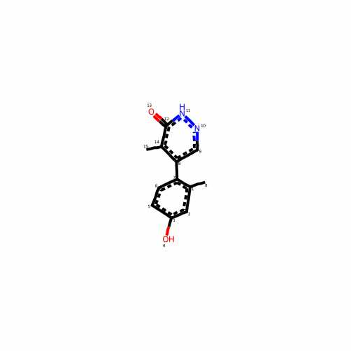 Cc1cc(O)ccc1-c1cn[nH]c(=O)c1C